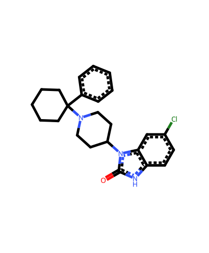 O=c1[nH]c2ccc(Cl)cc2n1C1CCN(C2(c3ccccc3)CCCCC2)CC1